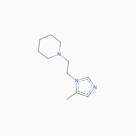 Cc1cncn1CCN1CCCCC1